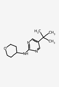 CC(C)(C)c1cnc(NC2CCOCC2)nc1